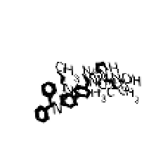 CCCCn1c2cc(N=C(c3ccccc3)c3ccccc3)ccc2c2ccc(-c3cnc([C@@H]4CCCN4C(=O)[C@H](NC(=O)O)C(C)C)[nH]3)cc21